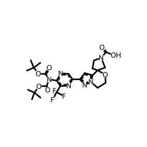 CC(C)(C)OC(=O)N(C(=O)OC(C)(C)C)c1ncc(-c2cc3n(n2)CCOC32CCN(C(=O)O)C2)nc1C(F)(F)F